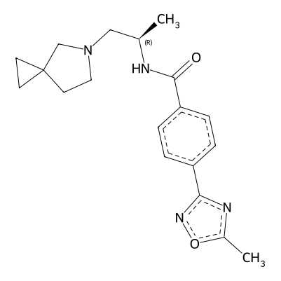 Cc1nc(-c2ccc(C(=O)N[C@H](C)CN3CCC4(CC4)C3)cc2)no1